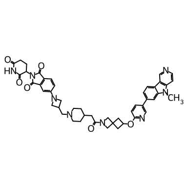 Cn1c2ccncc2c2ccc(-c3ccc(OC4CC5(C4)CN(C(=O)CC4CCN(CC6CN(c7ccc8c(c7)C(=O)N(C7CCC(=O)NC7=O)C8=O)C6)CC4)C5)nc3)cc21